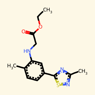 CCOC(=O)CNc1cc(-c2nc(C)ns2)ccc1C